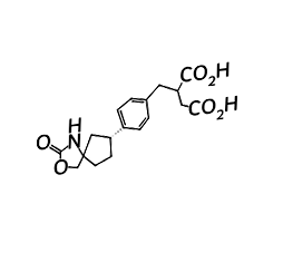 O=C(O)CC(Cc1ccc([C@@H]2CCC3(COC(=O)N3)C2)cc1)C(=O)O